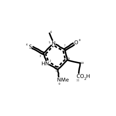 CNc1[nH]c(=S)n(C)c(=O)c1CC(=O)O